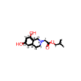 CC(C)COC(=O)CN1CCc2cc(O)cc(O)c2C1